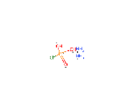 N.N.O=P(O)(O)Cl